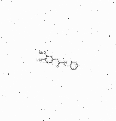 COc1cc(CC(=O)NCc2ccccc2)ccc1O